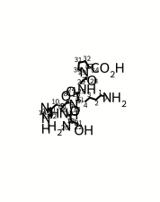 NCCCC[C@H](NC(=O)[C@H](Cc1c[nH]cn1)NC(=O)[C@@H](N)CO)C(=O)NCC(=O)N1CCC[C@H]1C(=O)O